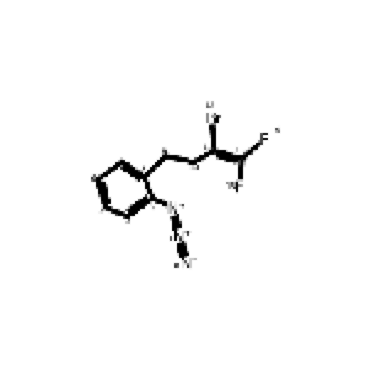 [N-]=[N+]=Nc1ccccc1CCC(Br)=C(F)F